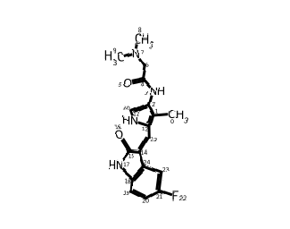 Cc1c(NC(=O)CN(C)C)c[nH]c1/C=C1\C(=O)Nc2ccc(F)cc21